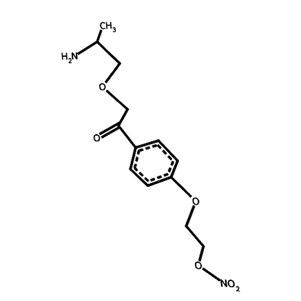 CC(N)COCC(=O)c1ccc(OCCO[N+](=O)[O-])cc1